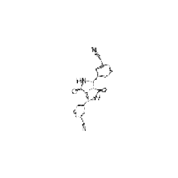 N#Cc1cccc(C2=C3C(=O)NC(c4cccc(C#N)c4)C3C(=O)N2)c1